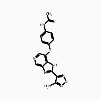 CC(=O)Nc1ccc(Sc2cncc3nc(-c4nonc4N)[nH]c23)cc1